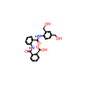 O=C(Nc1ccc(CO)cc1CO)c1ccccc1NC(=O)c1ccccc1C(=O)O